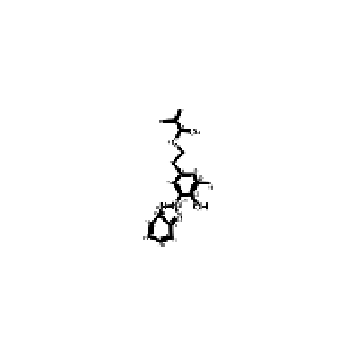 C=C(C)C(=O)OCCc1cc(C)c(O)c(-n2nc3ccccc3n2)c1